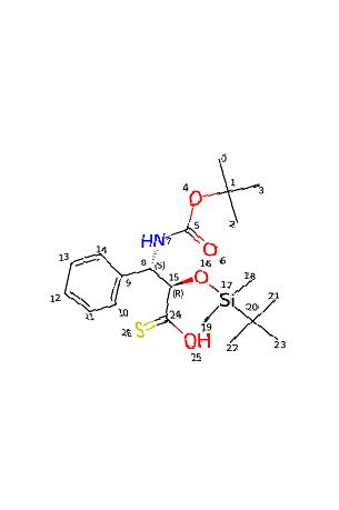 CC(C)(C)OC(=O)N[C@@H](c1ccccc1)[C@@H](O[Si](C)(C)C(C)(C)C)C(O)=S